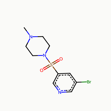 CN1CCN(S(=O)(=O)c2cncc(Br)c2)CC1